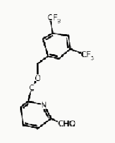 O=Cc1cccc(COCc2cc(C(F)(F)F)cc(C(F)(F)F)c2)n1